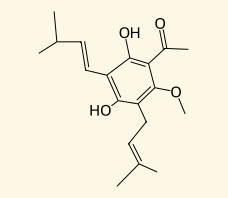 COc1c(CC=C(C)C)c(O)c(C=CC(C)C)c(O)c1C(C)=O